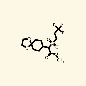 COC(=O)C(C1CCC2(CC1)OCCO2)S(=O)(=O)CCC(F)(F)F